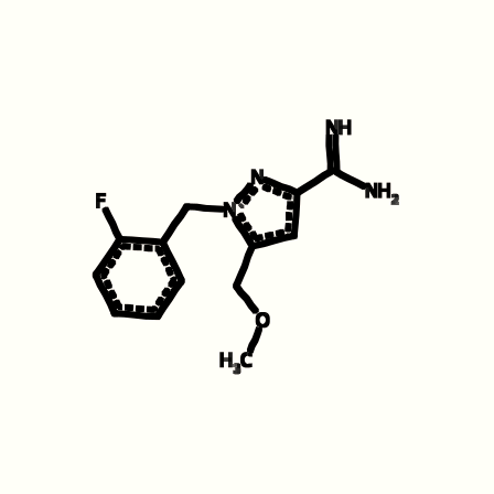 COCc1cc(C(=N)N)nn1Cc1ccccc1F